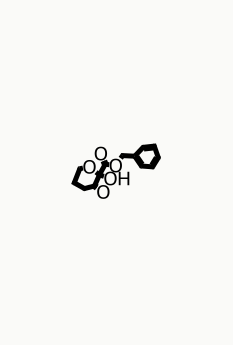 O=C1CCCOC1(O)C(=O)OCc1ccccc1